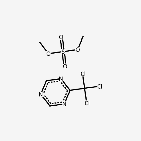 COS(=O)(=O)OC.ClC(Cl)(Cl)c1ncncn1